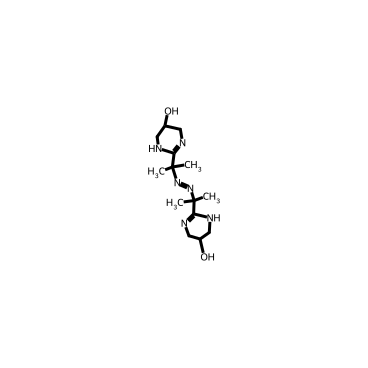 CC(C)(N=NC(C)(C)C1=NCC(O)CN1)C1=NCC(O)CN1